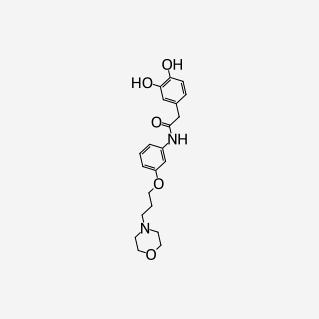 O=C(Cc1ccc(O)c(O)c1)Nc1cccc(OCCCN2CCOCC2)c1